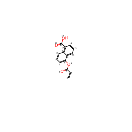 C=CC(=O)Oc1cccc2c(C(=O)O)cccc12